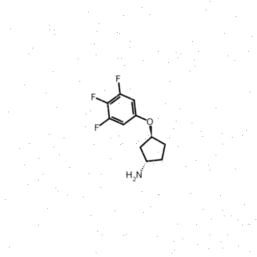 N[C@H]1CC[C@H](Oc2cc(F)c(F)c(F)c2)C1